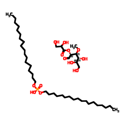 CCCCCCCCCCCCCCCCCCOP(=O)(O)OCCCCCCCCCCCCCCCCCC.CO[C@@H]([C@H](O)[C@H](O)CO)[C@H](C=O)OC(=O)C(O)CO